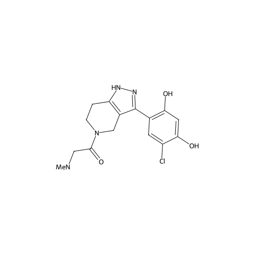 CNCC(=O)N1CCc2[nH]nc(-c3cc(Cl)c(O)cc3O)c2C1